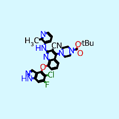 Cc1ncccc1Nc1nc2c(Oc3c(Cl)c(F)cc4[nH]ncc34)cccc2c(N2CCN(C(=O)OC(C)(C)C)CC2)c1C#N